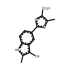 CCOC(=O)c1sc(-c2ccc3[nH]c(C)c(C#N)c3c2)nc1C